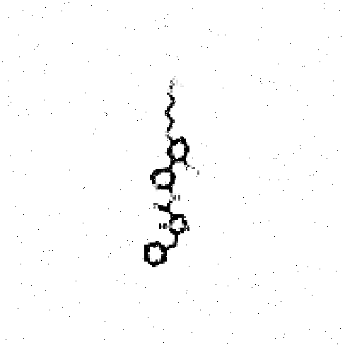 COCCCOc1ccc(C)c(-c2ccnc(NC(=O)c3nnc(Cc4ccccc4)[nH]3)c2)c1